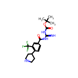 CC(C)(C)OC(=O)NC(=N)NC(=O)c1ccc(C2CCNCC2)c(C(F)(F)F)c1